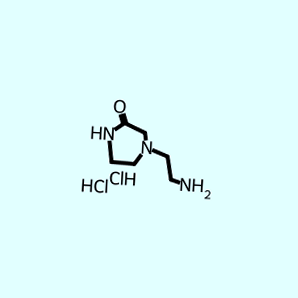 Cl.Cl.NCCN1CCNC(=O)C1